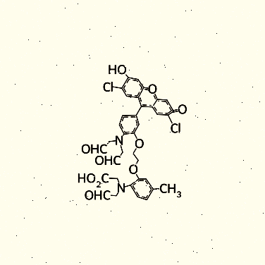 Cc1ccc(N(CC=O)CC(=O)O)c(OCCOc2cc(-c3c4cc(Cl)c(=O)cc-4oc4cc(O)c(Cl)cc34)ccc2N(CC=O)CC=O)c1